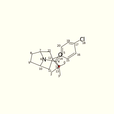 CC(C)(C)C(=O)N1C2CCC1CC(F)(c1ccc(Cl)cc1)C2